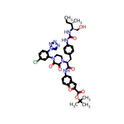 CC[C@H](C)[C@@H](CO)NC(=O)Nc1ccc(C[C@@H](C(=O)Nc2ccc3oc(C(=O)OC(C)(C)C)cc3c2)N2CCN(c3cc(Cl)ccc3-n3cnnn3)C(=O)C2=O)cc1